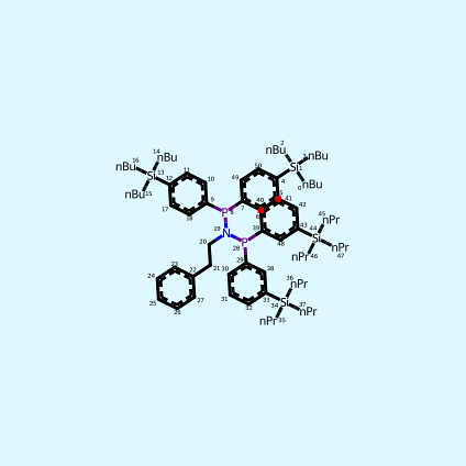 CCCC[Si](CCCC)(CCCC)c1ccc(P(c2ccc([Si](CCCC)(CCCC)CCCC)cc2)N(CCc2ccccc2)P(c2cccc([Si](CCC)(CCC)CCC)c2)c2cccc([Si](CCC)(CCC)CCC)c2)cc1